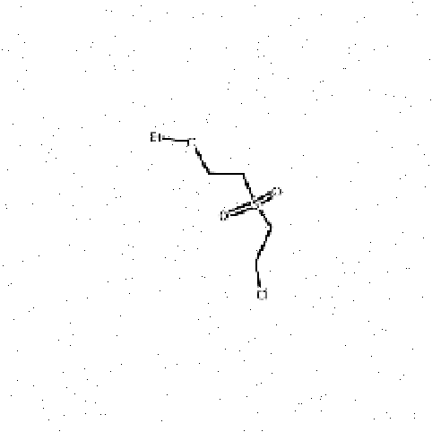 [CH2]COCCS(=O)(=O)CCCl